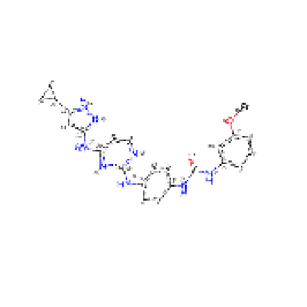 CCOc1cccc(NC(=O)Nc2ccc(Nc3nccc(Nc4cc(C5CC5)[nH]n4)n3)cc2)c1